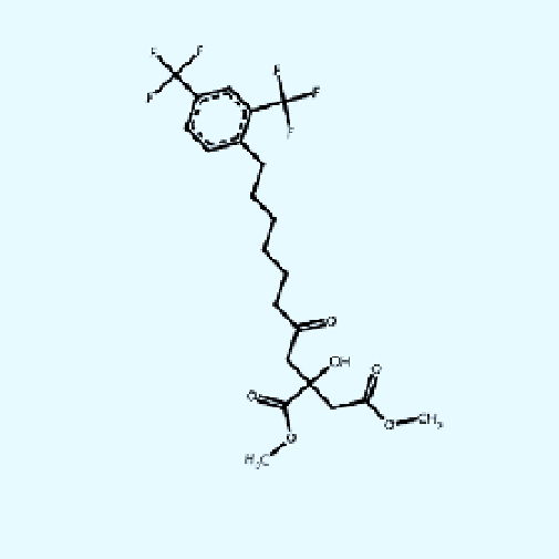 COC(=O)CC(O)(CC(=O)CCCCCCc1ccc(C(F)(F)F)cc1C(F)(F)F)C(=O)OC